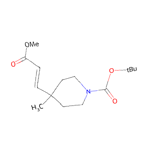 COC(=O)C=CC1(C)CCN(C(=O)OC(C)(C)C)CC1